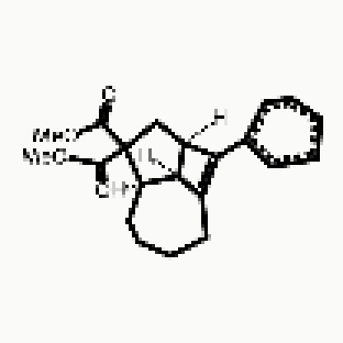 COC(=O)C1(C(=O)OC)C[C@H]2C(c3ccccc3)=C3CCCC[C@@H]1[C@H]32